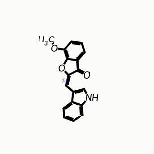 COc1cccc2c1O/C(=C/c1c[nH]c3ccccc13)C2=O